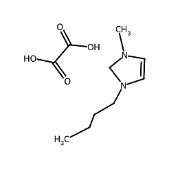 CCCCN1C=CN(C)C1.O=C(O)C(=O)O